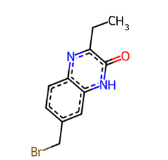 CCc1nc2ccc(CBr)cc2[nH]c1=O